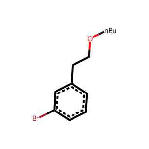 CCCCOCCc1cccc(Br)c1